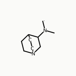 [CH2]N(C)C1CN2CCC1CC2